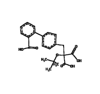 CC(C)(C)OC(Cc1ccc(-c2ccccc2C(=O)O)cc1)(C(=O)O)C(=O)O